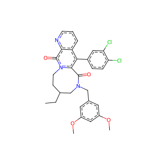 CCC1CCn2c(c(-c3ccc(Cl)c(Cl)c3)c3cccnc3c2=O)C(=O)N(Cc2cc(OC)cc(OC)c2)C1